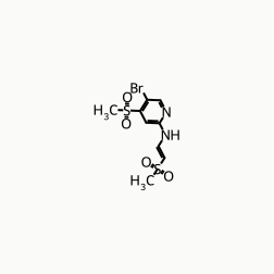 CS(=O)(=O)C=CNc1cc(S(C)(=O)=O)c(Br)cn1